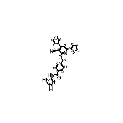 N#Cc1c(-c2ccoc2)cc(-c2cccs2)nc1OCc1ccc(C(=O)NC2=NNCN2)cc1